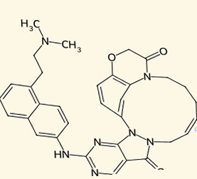 CN(C)CCc1cccc2cc(Nc3ncc4c(=O)n5n(c4n3)-c3ccc4c(c3)N(CCC/C=C\C5)C(=O)CO4)ccc12